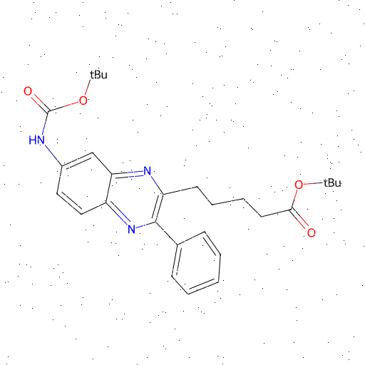 CC(C)(C)OC(=O)CCCCc1nc2cc(NC(=O)OC(C)(C)C)ccc2nc1-c1ccccc1